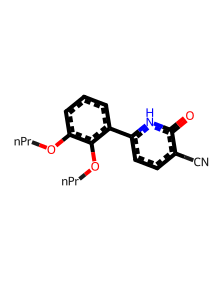 CCCOc1cccc(-c2ccc(C#N)c(=O)[nH]2)c1OCCC